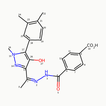 CC(=NNC(=O)c1ccc(C(=O)O)cc1)c1nn(C)c(-c2ccc(C)c(C)c2)c1O